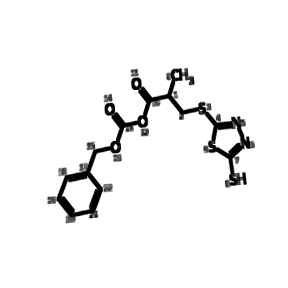 CC(CSc1nnc(S)s1)C(=O)OC(=O)OCc1ccccc1